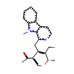 COC(=O)C1=CO[C@H](C)C(CO)=C1Cc1nccc2c3ccccc3n(C)c12